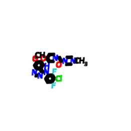 COc1cc2ncnc(Nc3ccc(F)c(Cl)c3F)c2cc1OC1CCN(CC(=O)N2CCN(C)CC2)CC1